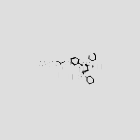 CNCC(O)COc1cccc(-c2nc(N(C)C3CCCCC3)cc(N(C)C3CCOCC3)n2)c1